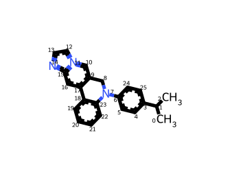 CC(C)c1ccc(N2Cc3cn4ccnc4cc3-c3ccccc32)cc1